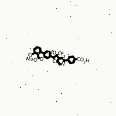 COC(=O)c1c(Cl)cccc1-c1ccc(C(C)C(O)(c2ccnc(-c3ccc(C(=O)O)cc3)c2)C(F)(F)F)cc1